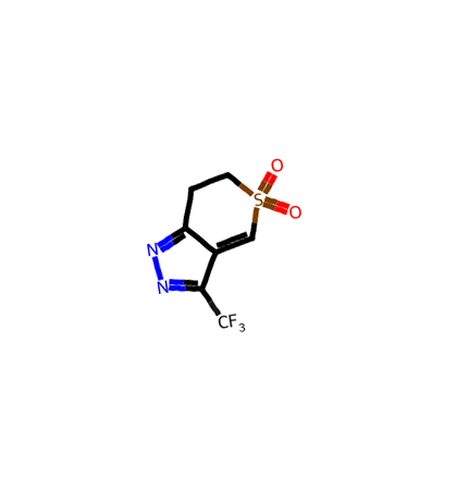 O=S1(=O)C=C2C(=NN=C2C(F)(F)F)CC1